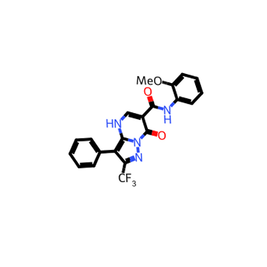 COc1ccccc1NC(=O)c1c[nH]c2c(-c3ccccc3)c(C(F)(F)F)nn2c1=O